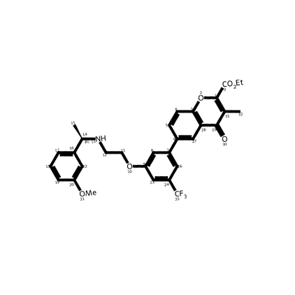 CCOC(=O)c1oc2ccc(-c3cc(OCCN[C@H](C)c4cccc(OC)c4)cc(C(F)(F)F)c3)cc2c(=O)c1C